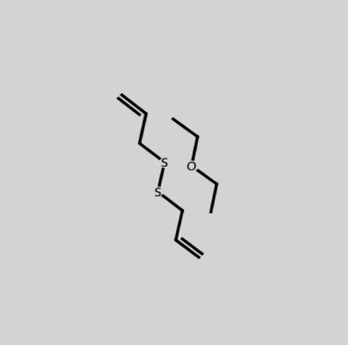 C=CCSSCC=C.CCOCC